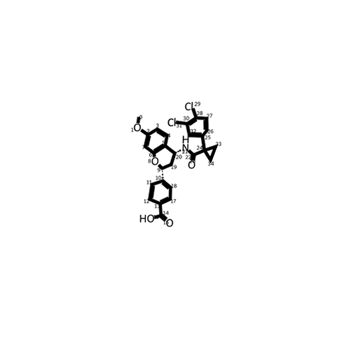 COc1ccc2c(c1)O[C@@H](c1ccc(C(=O)O)cc1)C[C@H]2NC(=O)C1(c2ccc(Cl)c(Cl)c2)CC1